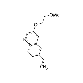 C=Cc1ccc2ncc(OCCOC)cc2c1